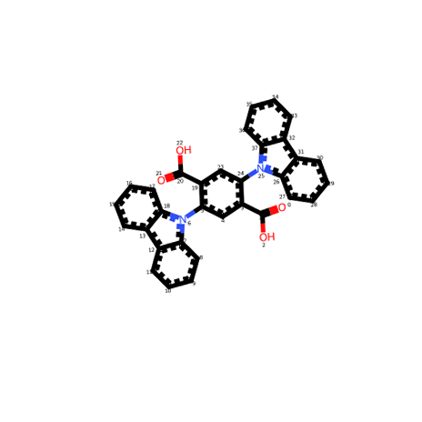 O=C(O)c1cc(-n2c3ccccc3c3ccccc32)c(C(=O)O)cc1-n1c2ccccc2c2ccccc21